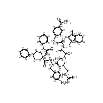 CN(C(=O)[C@H](CCCNC(=N)N)NC(=O)[C@@H](Cc1ccccc1)NC(=O)[C@]1(NC(=O)Cc2ccccc2)CC[C@@H](c2ccccc2)CC1)[C@@H](Cc1c[nH]c2ccccc12)C(=O)NCc1ccc(C(N)=O)cc1